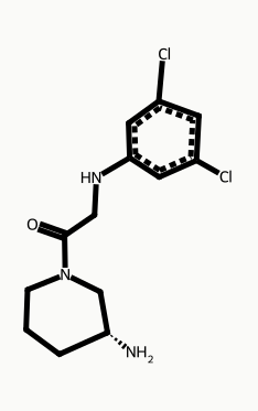 N[C@@H]1CCCN(C(=O)CNc2cc(Cl)cc(Cl)c2)C1